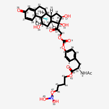 CC(=O)N[C@@H](Cc1ccc(OC(=O)OCC(=O)[C@@]2(O)[C@H](O)C[C@H]3[C@@H]4CCC5=CC(=O)C=C[C@]5(C)[C@@]4(F)[C@@H](O)C[C@@]32C)cc1)C(=O)OCCCCON(O)O